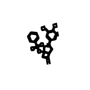 O=S(=O)(O[C@]12CNC1CN(c1cnc(Cl)c(Cl)c1)C2)c1ccccc1